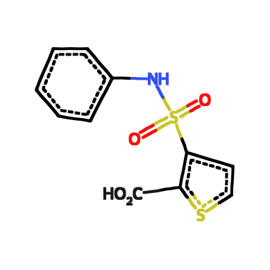 O=C(O)c1sccc1S(=O)(=O)Nc1ccccc1